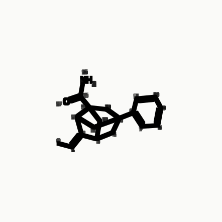 C/C=C1/C2CC3(c4ccccc4)CC1C(C(N)=O)(C2)C3